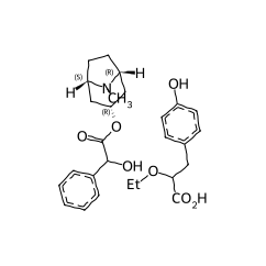 CCOC(Cc1ccc(O)cc1)C(=O)O.CN1[C@@H]2CC[C@H]1C[C@@H](OC(=O)C(O)c1ccccc1)C2